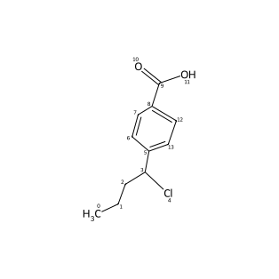 CCCC(Cl)c1ccc(C(=O)O)cc1